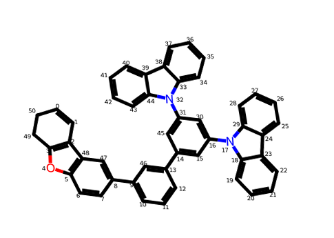 C1=Cc2c(oc3ccc(-c4cccc(-c5cc(-n6c7ccccc7c7ccccc76)cc(-n6c7ccccc7c7ccccc76)c5)c4)cc23)CC1